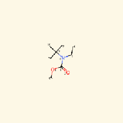 [CH2]OC(=O)N(CC)C(C)(C)C